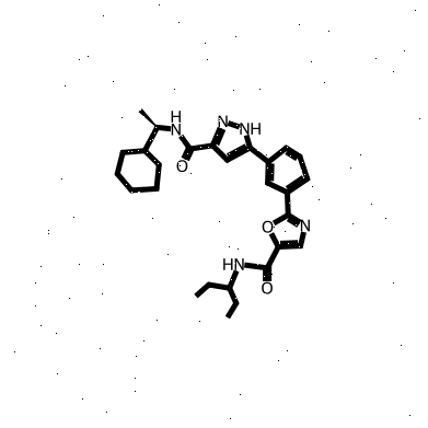 CCC(CC)NC(=O)c1cnc(-c2cccc(-c3cc(C(=O)N[C@H](C)C4CCCCC4)n[nH]3)c2)o1